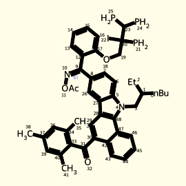 CCCCC(CC)Cn1c2ccc(/C(=N\OC(C)=O)c3ccccc3OCC(P)(I)C(P)P)cc2c2cc(C(=O)c3c(C)cc(C)cc3C)c3ccccc3c21